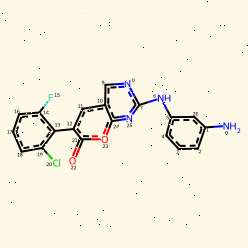 Nc1cccc(Nc2ncc3cc(-c4c(F)cccc4Cl)c(=O)oc3n2)c1